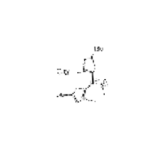 CC1=[C]([Hf+2]([C]2=C(C)C=C(C(C)(C)C)C2)[SiH](C)C)CC(C(C)(C)C)=C1.[Cl-].[Cl-]